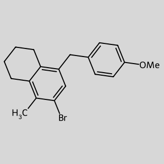 COc1ccc(Cc2cc(Br)c(C)c3c2CCCC3)cc1